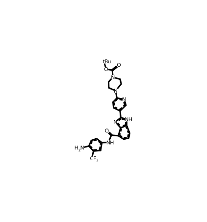 CC(C)(C)OC(=O)N1CCN(c2ccc(-c3nc4c(C(=O)Nc5ccc(N)c(C(F)(F)F)c5)cccc4[nH]3)cn2)CC1